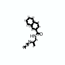 C=C(CNC(=O)c1ccc2ccccc2c1)N=[N+]=[N-]